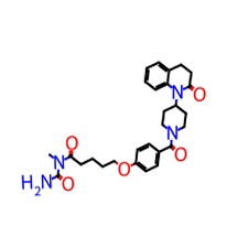 CN(C(N)=O)C(=O)CCCCOc1ccc(C(=O)N2CCC(N3C(=O)CCc4ccccc43)CC2)cc1